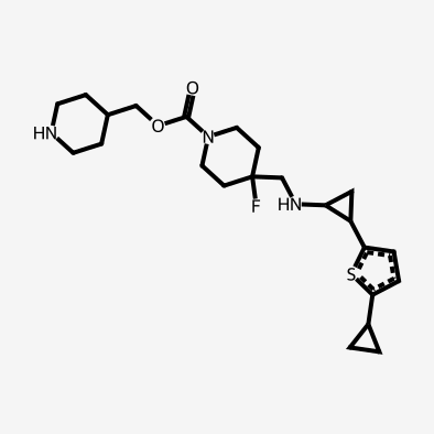 O=C(OCC1CCNCC1)N1CCC(F)(CNC2CC2c2ccc(C3CC3)s2)CC1